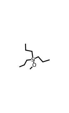 CCC[Si](CCC)(CCC)OC